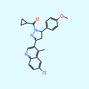 COc1ccc(C2CC(c3cnc4ccc(Cl)cc4c3C)=NN2C(=O)C2CC2)cc1